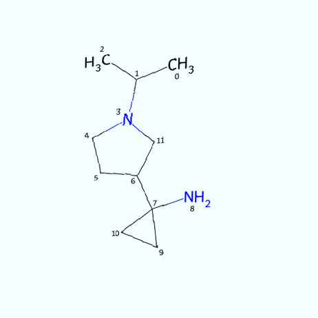 CC(C)N1CCC(C2(N)CC2)C1